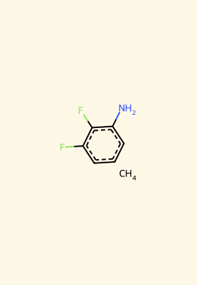 C.Nc1cccc(F)c1F